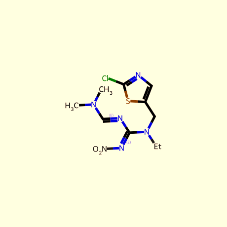 CCN(Cc1cnc(Cl)s1)C(=N/[N+](=O)[O-])/N=C/N(C)C